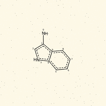 [NH]c1c[nH]c2ccccc12